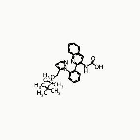 CC(C)(C)[Si](C)(C)OCc1ccnn1-c1ccccc1-c1nc2ccccc2cc1NC(=O)O